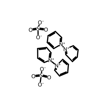 O=S(=O)([O-])[O-].O=S(=O)([O-])[O-].c1cc[n+](-[n+]2ccccc2)cc1.c1cc[n+](-[n+]2ccccc2)cc1